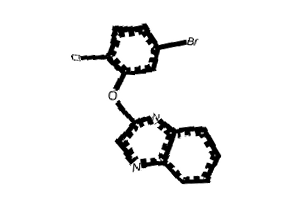 Clc1ccc(Br)cc1Oc1cnc2ccccc2n1